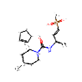 CC(/C=C/S(C)(=O)=O)NC(=O)N1CC[C@H](C(F)(F)F)C[C@@H]1C1=CCCC1